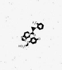 O=C(O)COc1ccc(Cl)cc1[C@@H]1c2scnc2CCN1C(=O)[C@H]1C[C@@H]1c1ccccc1C(F)(F)F